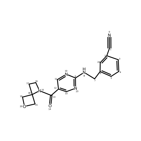 N#Cc1cccc(CNc2ncc(C(=O)N3CCC34COC4)cn2)c1